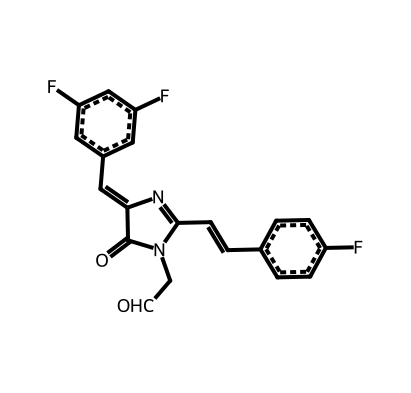 O=CCN1C(=O)/C(=C/c2cc(F)cc(F)c2)N=C1/C=C/c1ccc(F)cc1